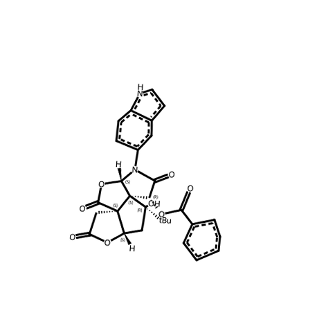 CC(C)(C)[C@]1(O)C[C@@H]2OC(=O)C[C@@]23C(=O)O[C@@H]2N(c4ccc5[nH]ccc5c4)C(=O)[C@H](OC(=O)c4ccccc4)[C@]213